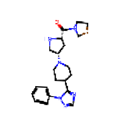 O=C([C@@H]1C[C@H](N2CCC(c3ncnn3-c3ccccc3)CC2)CN1)N1CCSC1